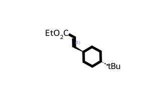 CCOC(=O)/C=C/[C@H]1CC[C@H](C(C)(C)C)CC1